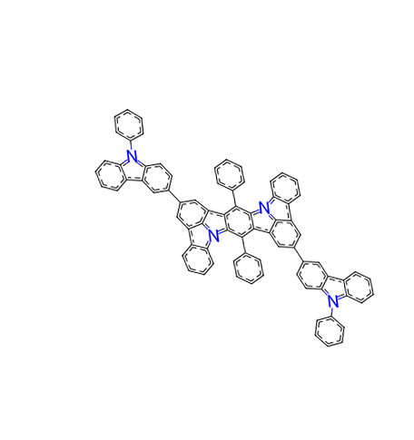 c1ccc(-c2c3c4cc(-c5ccc6c(c5)c5ccccc5n6-c5ccccc5)cc5c6ccccc6n(c3c(-c3ccccc3)c3c6cc(-c7ccc8c(c7)c7ccccc7n8-c7ccccc7)cc7c8ccccc8n(c23)c76)c54)cc1